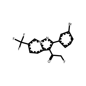 O=C(CF)c1c(-c2cccc(Br)c2)nn2cc(C(F)(F)F)ccc12